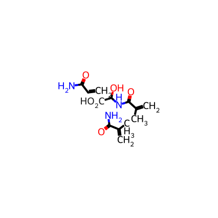 C=C(C)C(=O)NC(O)C(=O)O.C=C(C)C(N)=O.C=CC(N)=O